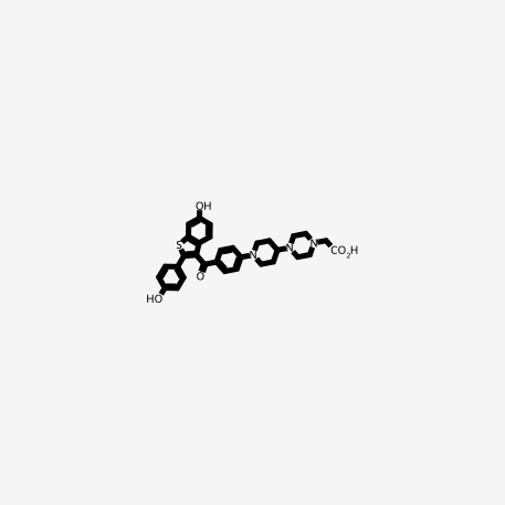 O=C(O)CN1CCN(C2CCN(c3ccc(C(=O)c4c(-c5ccc(O)cc5)sc5cc(O)ccc45)cc3)CC2)CC1